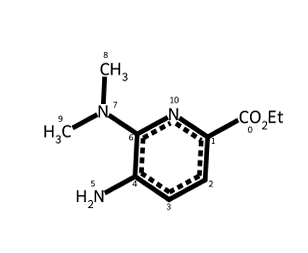 CCOC(=O)c1ccc(N)c(N(C)C)n1